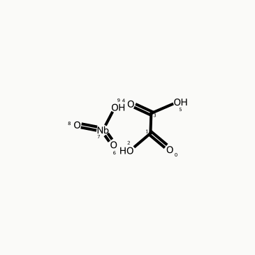 O=C(O)C(=O)O.[O]=[Nb](=[O])[OH]